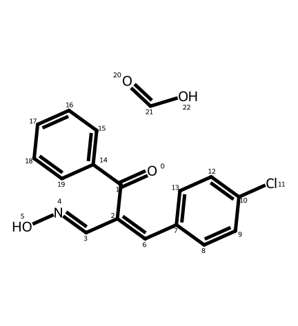 O=C(C(C=NO)=Cc1ccc(Cl)cc1)c1ccccc1.O=CO